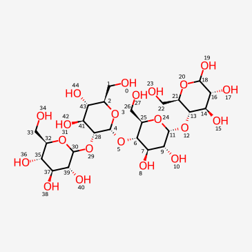 OC[C@H]1O[C@H](O[C@H]2[C@H](O)[C@@H](O)[C@@H](O[C@H]3[C@H](O)[C@@H](O)C(O)O[C@@H]3CO)O[C@@H]2CO)[C@H](OC2O[C@H](CO)[C@@H](O)[C@H](O)[C@H]2O)[C@@H](O)[C@@H]1O